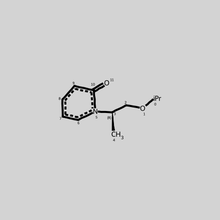 CC(C)OC[C@@H](C)n1ccccc1=O